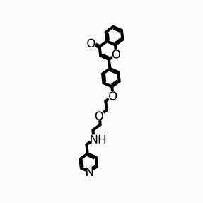 O=c1cc(-c2ccc(OCCOCCNCc3ccncc3)cc2)oc2ccccc12